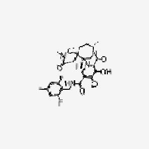 Cc1cc(F)c(CNC(=O)c2cn3c(c(O)c2=O)C(=O)N2C[C@@H]3[C@]3(CC[C@@H]2C)CC(=O)N(C)O3)c(F)c1